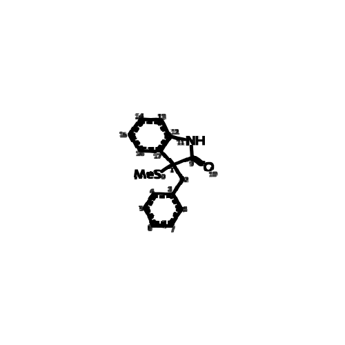 CSC1(Cc2ccccc2)C(=O)Nc2ccccc21